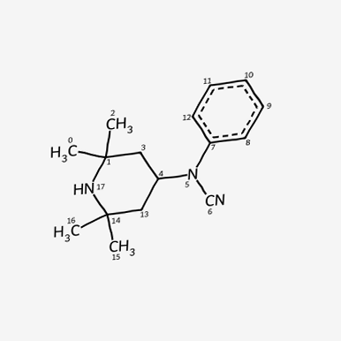 CC1(C)CC(N(C#N)c2ccccc2)CC(C)(C)N1